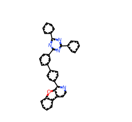 c1ccc(-c2nc(-c3ccccc3)nc(-c3cccc(-c4ccc(-c5nccc6c5oc5ccccc56)cc4)c3)n2)cc1